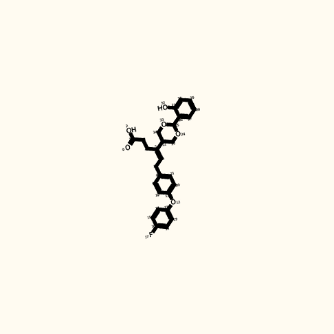 O=C(O)CC/C(=C\Cc1ccc(Oc2ccc(F)cc2)cc1)C1COC(c2ccccc2O)OC1